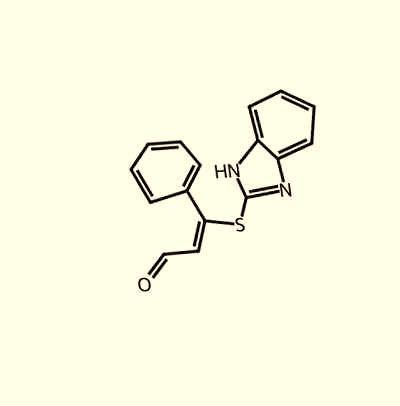 O=C/C=C(/Sc1nc2ccccc2[nH]1)c1ccccc1